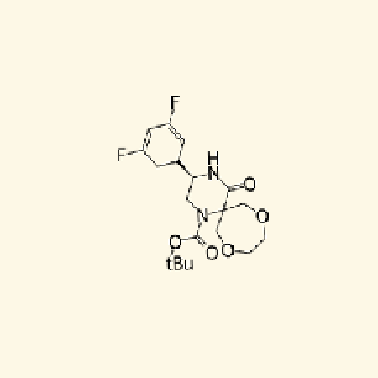 CC(C)(C)OC(=O)N1C[C@@H](C2C=C(F)C=C(F)C2)NC(=O)C12COCCOC2